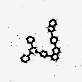 c1ccc(-c2nc(-c3ccccc3)nc(-c3ccc(-c4cccc5ccc(-c6ccc(-c7cnc8ccccc8c7)cc6)cc45)cc3)n2)cc1